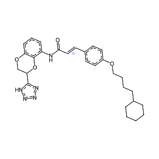 O=C(/C=C/c1ccc(OCCCCC2CCCCC2)cc1)Nc1cccc2c1OC(c1nnn[nH]1)CO2